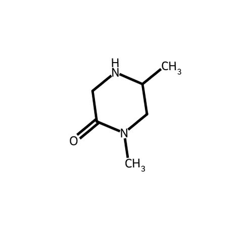 CC1CN(C)C(=O)CN1